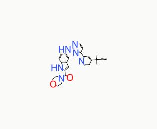 C#CC(C)(C)c1ccnc(-c2ccnc(Nc3ccc4[nH]c(C(=O)N5CCOCC5)cc4c3)n2)c1